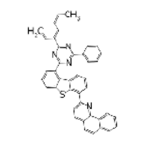 C=C/C(=C\C=C/C)c1nc(-c2ccccc2)nc(-c2cccc3sc4c(-c5ccc6ccc7ccccc7c6n5)cccc4c23)n1